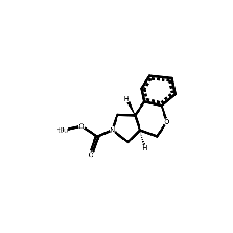 CC(C)(C)OC(=O)N1C[C@@H]2COc3ccccc3[C@H]2C1